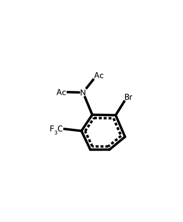 CC(=O)N(C(C)=O)c1c(Br)cccc1C(F)(F)F